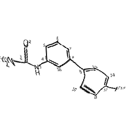 NC(=O)Nc1cccc(-c2ccc(F)cc2)c1